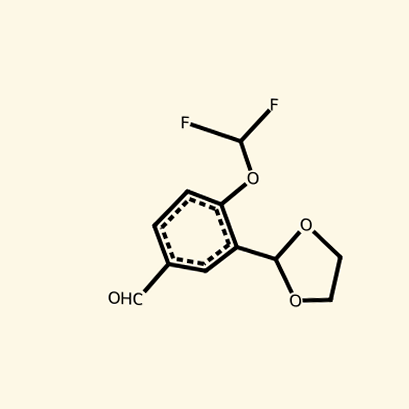 O=Cc1ccc(OC(F)F)c(C2OCCO2)c1